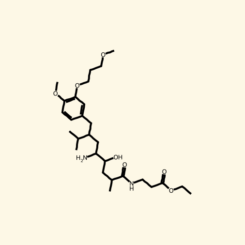 CCOC(=O)CCNC(=O)C(C)CC(O)C(N)CC(Cc1ccc(OC)c(OCCCOC)c1)C(C)C